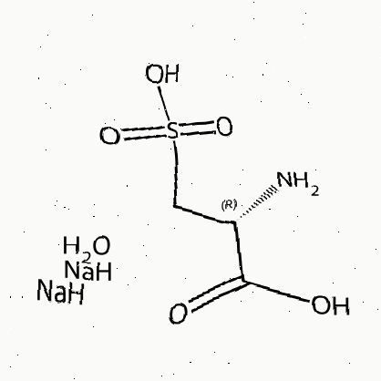 N[C@@H](CS(=O)(=O)O)C(=O)O.O.[NaH].[NaH]